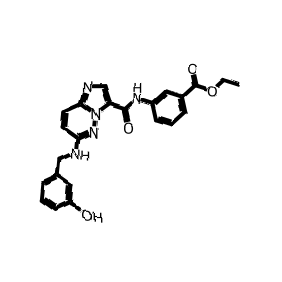 CCOC(=O)c1cccc(NC(=O)c2cnc3ccc(NCc4cccc(O)c4)nn23)c1